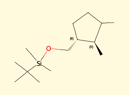 CC1CC[C@@H](CO[Si](C)(C)C(C)(C)C)[C@@H]1C